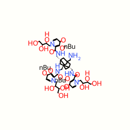 CCCCOc1c(C(=O)NC[C@]23CC4(CN)C[C@](CNC(=O)c5c(OCCCC)c(=O)ccn5CC(O)C(O)CO)(C2)C[C@@](CNC(=O)c2c(OCCCC)c(=O)ccn2CC(O)C(O)CO)(C4)C3)n(CC(O)C(O)CO)ccc1=O